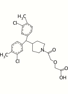 Cc1ccc(C(c2ccc(C)c(Cl)c2)C2CCN(C(=O)COCC(=O)O)CC2)cc1Cl